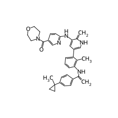 C=C1NC=C(c2cccc(NC(=C)c3ccc(C4(C)CC4)cc3)c2C)C=C1Nc1ccc(C(=O)N2CCOCC2)cn1